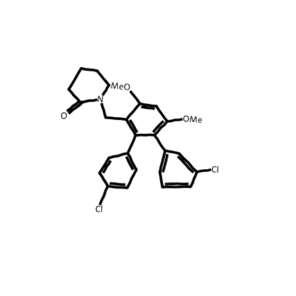 COc1cc(OC)c(-c2cccc(Cl)c2)c(-c2ccc(Cl)cc2)c1CN1CCCCC1=O